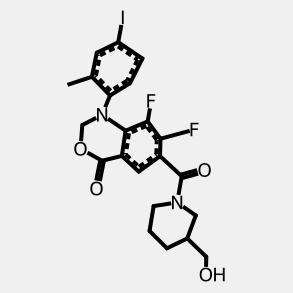 Cc1cc(I)ccc1N1COC(=O)c2cc(C(=O)N3CCCC(CO)C3)c(F)c(F)c21